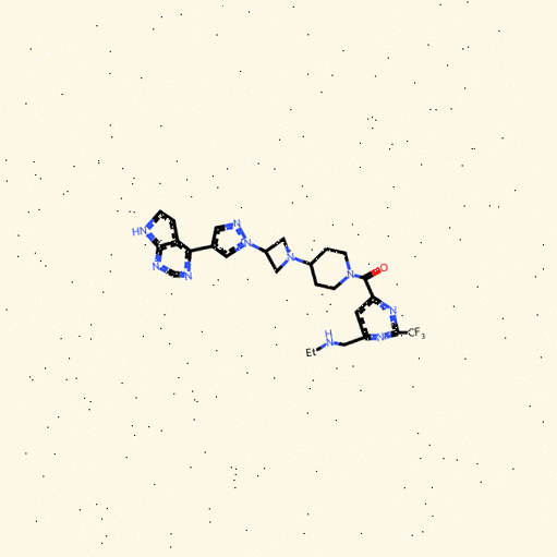 CCNCc1cc(C(=O)N2CCC(N3C[C](n4cc(-c5ncnc6[nH]ccc56)cn4)C3)CC2)nc(C(F)(F)F)n1